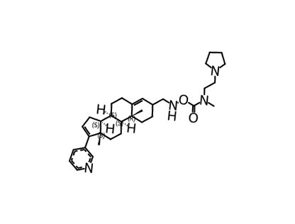 CN(CCN1CCCC1)C(=O)ONCC1C=C2CC[C@H]3[C@H](CC[C@]4(C)C(c5cccnc5)=CC[C@@H]34)[C@@]2(C)CC1